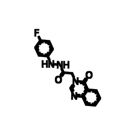 O=C(Cn1cnc2ccccc2c1=O)NNc1ccc(F)cc1